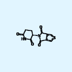 O=C1CCC(N2C(=O)c3cscc3C2=O)C(=O)N1